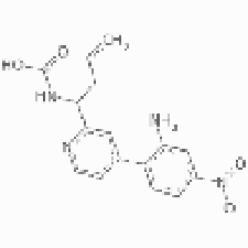 C=CCC(NC(=O)O)c1cc(-c2ccc([N+](=O)[O-])cc2N)ccn1